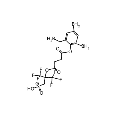 BCc1cc(B)cc(B)c1OC(=O)CCC(=O)OC(CS(=O)(=O)O)(C(F)(F)F)C(F)(F)F